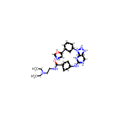 CCN(CC)CCNC(=O)c1ccc(Nc2ncc3nnn(-c4cccc(-c5cnco5)c4)c3n2)cc1